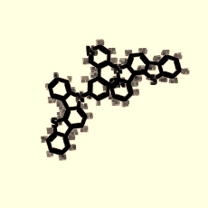 N#Cc1ccc(-n2c3ccccc3c3c4sc5ccccc5c4ccc32)cc1-c1cnccc1-n1c2ccccc2c2c3sc4ccccc4c3ccc21